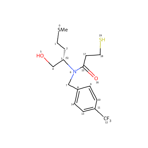 CSCC[C@@H](CO)N(Cc1ccc(C(F)(F)F)cc1)C(=O)CCS